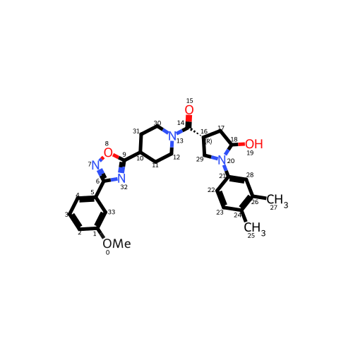 COc1cccc(-c2noc(C3CCN(C(=O)[C@@H]4CC(O)N(c5ccc(C)c(C)c5)C4)CC3)n2)c1